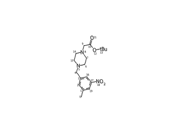 Cc1cc(CN2CCN(CC(=O)OC(C)(C)C)CC2)cc([N+](=O)[O-])c1